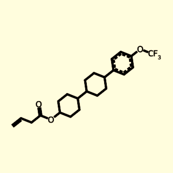 C=CCC(=O)OC1CCC(C2CCC(c3ccc(OC(F)(F)F)cc3)CC2)CC1